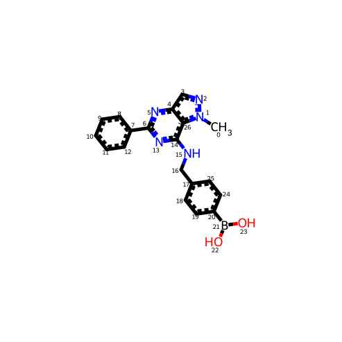 Cn1ncc2nc(-c3ccccc3)nc(NCc3ccc(B(O)O)cc3)c21